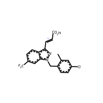 Cc1cc(Cl)ccc1Cn1nc(/C=C/C(=O)O)c2ccc(C(F)(F)F)cc21